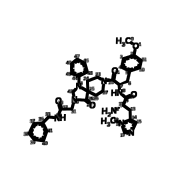 COc1ccc(C[C@@H](NC(=O)[C@@H](N)Cc2cncn2C)C(=O)N2CCC3(CC2)C(=O)N(CC(=O)NCc2ccccc2)CN3c2ccccc2)cc1